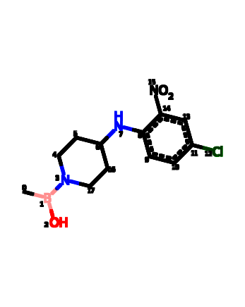 CB(O)N1CCC(Nc2ccc(Cl)cc2[N+](=O)[O-])CC1